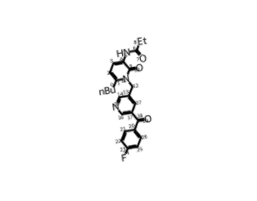 CCCCc1ccc(NC(=O)CC)c(=O)n1Cc1cncc(C(=O)c2ccc(F)cc2)c1